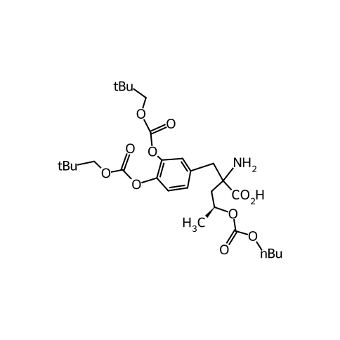 CCCCOC(=O)O[C@@H](C)CC(N)(Cc1ccc(OC(=O)OCC(C)(C)C)c(OC(=O)OCC(C)(C)C)c1)C(=O)O